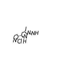 N=C/N=c1\[nH]cc(-c2cccnc2Cl)cc1I